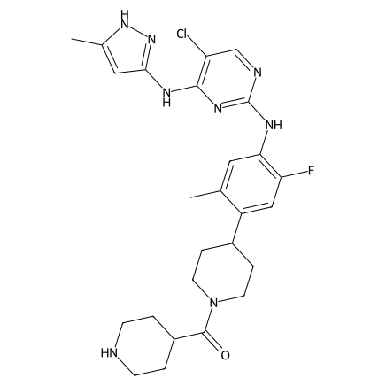 Cc1cc(Nc2nc(Nc3cc(C)c(C4CCN(C(=O)C5CCNCC5)CC4)cc3F)ncc2Cl)n[nH]1